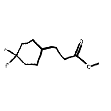 COC(=O)CCC1CCC(F)(F)CC1